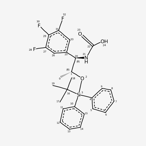 C[C@@H](O[Si](c1ccccc1)(c1ccccc1)C(C)(C)C)[C@H](NC(=O)O)c1cc(F)c(F)c(F)c1